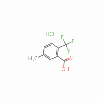 Cc1ccc(C(F)(F)F)c(C(=O)O)c1.Cl